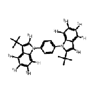 [2H]c1c([2H])c([2H])c2c(c1[2H])c(C(C)(C)C)c([2H])n2-c1ccc(-n2c(C(C)(C)C)c([2H])c3c([2H])c([2H])c([2H])c([2H])c32)cc1